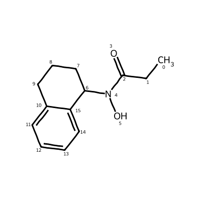 CCC(=O)N(O)C1CCCc2ccccc21